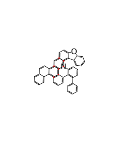 c1ccc(-c2ccccc2-c2c(-c3ccccc3)cccc2N(c2ccc3c(ccc4ccccc43)c2)c2cccc3oc4ccccc4c23)cc1